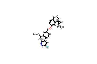 COC(c1cc(COc2ccc3c(c2)[C@@]2(CCC3)C[C@@H]2C(=O)O)ccc1-c1cncc(F)c1)C(C)(C)C